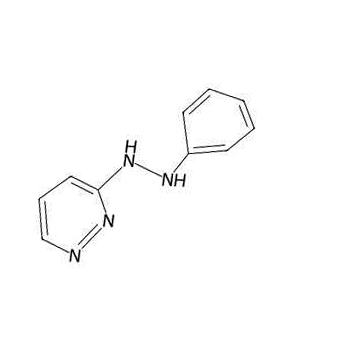 c1ccc(NNc2cccnn2)cc1